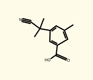 Cc1cc(C(=O)O)cc(C(C)(C)C#N)c1